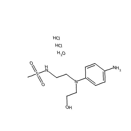 CS(=O)(=O)NCCN(CCO)c1ccc(N)cc1.Cl.Cl.O